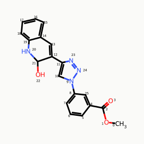 COC(=O)c1cccc(-n2cc(C3=Cc4ccccc4NC3O)nn2)c1